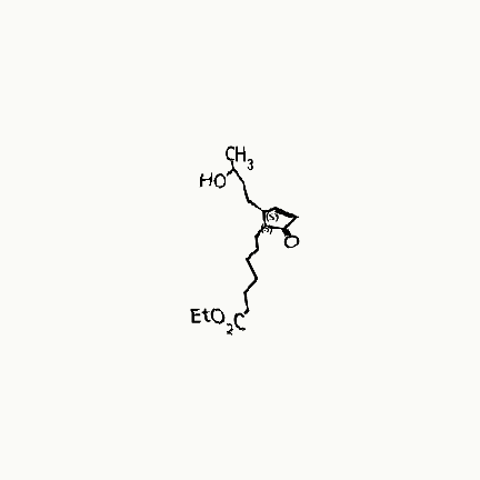 CCOC(=O)CCCCCC[C@@H]1C(=O)C=C[C@@H]1CCC(C)O